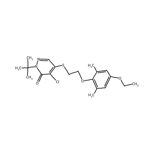 CCOc1cc(C)c(OCCSc2cnn(C(C)(C)C)c(=O)c2Cl)c(C)c1